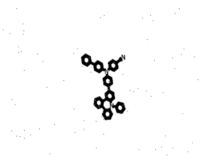 N#Cc1ccc(N(c2ccc(-c3ccccc3)cc2)c2ccc(-c3ccc4c(c3)-c3ccccc3-c3ccccc3N4c3ccccc3)cc2)cc1